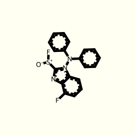 [O-][S+](F)c1nc2c(F)cccc2n1N(c1ccccc1)c1ccccc1